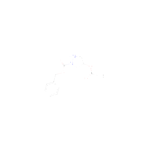 CC(=O)OC1CNN(C(=O)OCc2ccccc2)C1